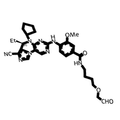 CC[C@@H]1c2c(C#N)ncn2-c2cnc(Nc3ccc(C(=O)NCCCCOCC=O)cc3OC)nc2N1C1CCCC1